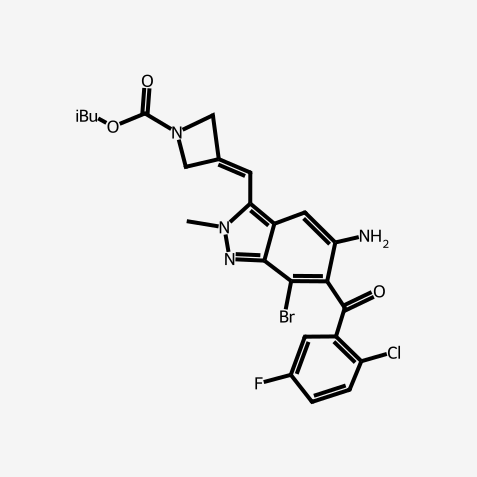 CCC(C)OC(=O)N1CC(=Cc2c3cc(N)c(C(=O)c4cc(F)ccc4Cl)c(Br)c3nn2C)C1